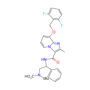 Cc1nc2c(OCc3c(F)cccc3F)cccn2c1C(=O)NC(CN(C(=O)O)C(C)(C)C)c1ccccc1